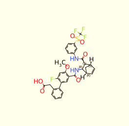 COc1cc(F)c(-c2ccccc2CC(=O)O)cc1C(=O)N[C@H]1[C@@H](C(=O)Nc2cccc(S(=O)(=O)C(F)(F)F)c2)[C@@H]2C=C[C@H]1C2